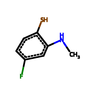 CNc1cc(F)ccc1S